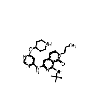 CC(C)(C)Nc1nc(Nc2cc(OC3CCNCC3)ncn2)cc2ccn(CCO)c(=O)c12